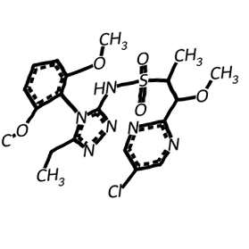 CCc1nnc(NS(=O)(=O)C(C)C(OC)c2ncc(Cl)cn2)n1-c1c(OC)cccc1OC